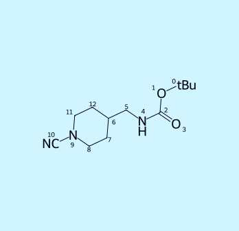 CC(C)(C)OC(=O)NCC1CCN(C#N)CC1